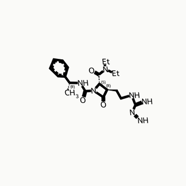 CCN(CC)C(=O)[C@@H]1[C@@H](CCNC(=N)N=N)C(=O)N1C(=O)N[C@H](C)c1ccccc1